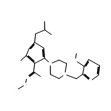 COc1cccnc1CN1CCN(c2cc(CC(C)C)cc(F)c2/C(N)=N/NN)CC1